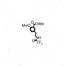 COC(=O)c1cc(CCNC(=O)C(F)(F)F)ccc1OC